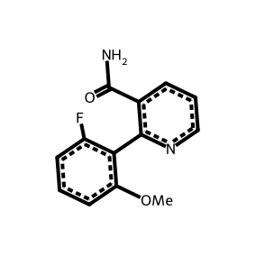 COc1cccc(F)c1-c1ncccc1C(N)=O